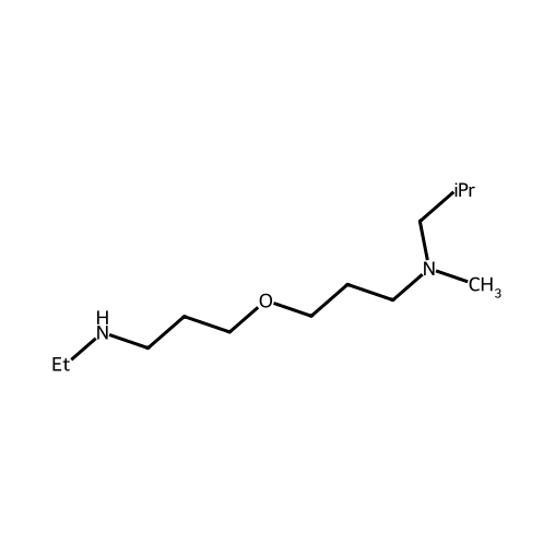 CCNCCCOCCCN(C)CC(C)C